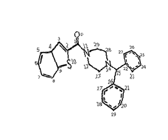 O=C(C1=CC2C=CC=CC2S1)N1CCN(C(c2ccccc2)c2ccccc2)CC1